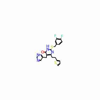 O=c1[nH]c(SCc2ccc(F)c(F)c2)nc(CCc2cccs2)c1Cc1cncnc1